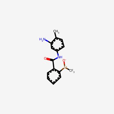 Cc1ccc(NC(=O)c2ccccc2[S+]([O-])C(F)(F)F)cc1N